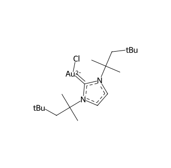 CC(C)(C)CC(C)(C)n1ccn(C(C)(C)CC(C)(C)C)[c]1=[Au-2][Cl]